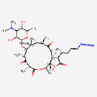 CC[C@H]1OC(=O)[C@H](C)C(=O)[C@H](C)[C@@H](OC2OC(C)C(O)C(N(C)C)C2O)[C@@](C)(OC)C[C@@H](C)C(=O)[C@H](C)[C@H]2C(CCCCN=[N+]=[N-])C(=O)O[C@@]21C